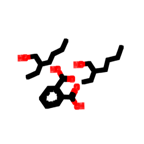 CCCCC(CC)CO.CCCCC(CC)CO.O=C(O)c1ccccc1C(=O)O